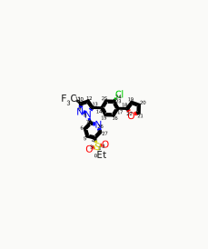 CCS(=O)(=O)c1ccc(-n2nc(C(F)(F)F)cc2-c2ccc(-c3ccco3)c(Cl)c2)nc1